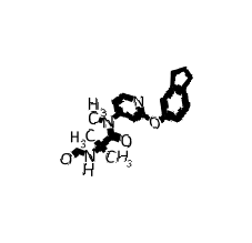 CN(C(=O)C(C)(C)NC=O)c1ccnc(Oc2ccc3c(c2)CCC3)c1